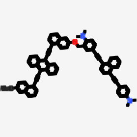 COc1ccc2c(C#Cc3c4ccccc4c(C#Cc4cccc5cc(OCc6cc(C#Cc7ccc(C#Cc8ccc(N(C)C)cc8)c8ccccc78)ccc6N(C)C)ccc45)c4ccccc34)cccc2c1